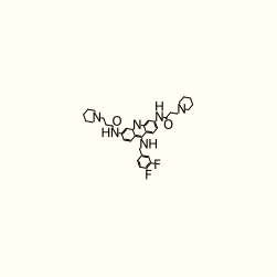 O=C(CCN1CCCCC1)Nc1ccc2c(NCc3ccc(F)c(F)c3)c3ccc(NC(=O)CCN4CCCCC4)cc3nc2c1